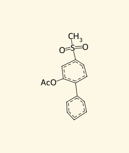 CC(=O)Oc1cc(S(C)(=O)=O)ccc1-c1ccccc1